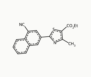 CCOC(=O)c1sc(-c2cc(C#N)c3ccccc3c2)nc1C